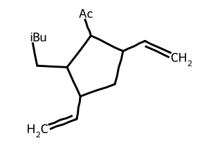 C=CC1CC(C=C)C(C(C)=O)C1CC(C)CC